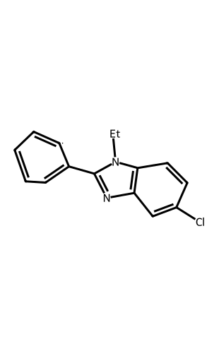 CCn1c(-c2[c]cccc2)nc2cc(Cl)ccc21